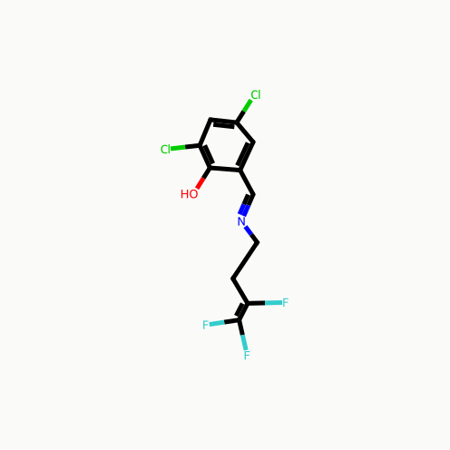 Oc1c(Cl)cc(Cl)cc1C=NCCC(F)=C(F)F